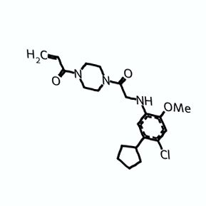 C=CC(=O)N1CCN(C(=O)CNc2cc(C3CCCC3)c(Cl)cc2OC)CC1